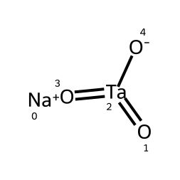 [Na+].[O]=[Ta](=[O])[O-]